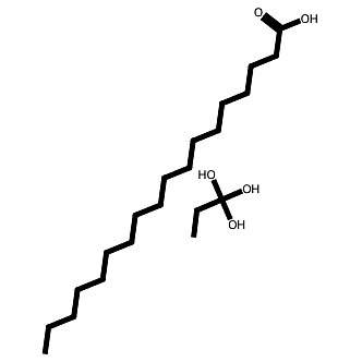 CCC(O)(O)O.CCCCCCCCCCCCCCCCCC(=O)O